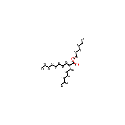 CCCCC[CH]OC(=O)[C@H](CCCCCC)CCCCCCCC